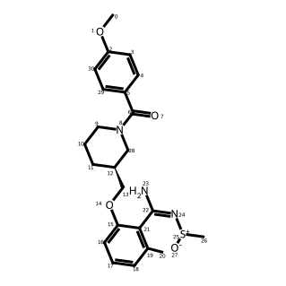 COc1ccc(C(=O)N2CCC[C@H](COc3cccc(C)c3/C(N)=N\[S+](C)[O-])C2)cc1